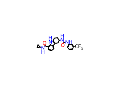 O=C(Nc1cccc(C(F)(F)F)c1)NC1CCc2[nH]c3c(C(=O)NC4CC4)cccc3c2C1